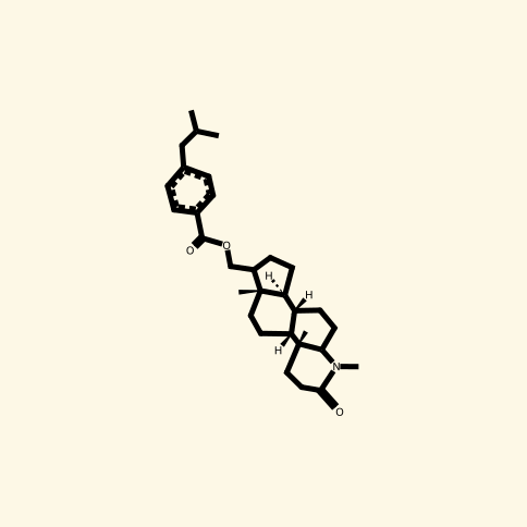 CC(C)Cc1ccc(C(=O)OCC2CC[C@H]3[C@@H]4CCC5N(C)C(=O)CC[C@]5(C)[C@@H]4CC[C@]23C)cc1